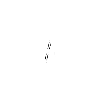 O=[Si]=O.[Hf]